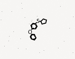 c1ccc(Oc2ccc(SC3CCCC3)cc2)cc1